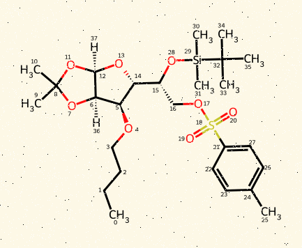 CCCCO[C@H]1[C@H]2OC(C)(C)O[C@H]2O[C@@H]1[C@@H](COS(=O)(=O)c1ccc(C)cc1)O[Si](C)(C)C(C)(C)C